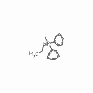 CCC[PH](I)(c1ccccc1)c1ccccc1